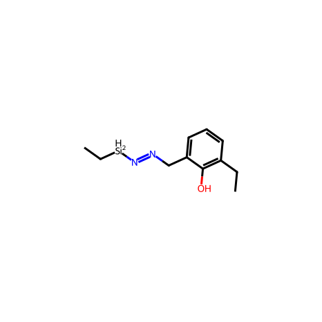 CC[SiH2]/N=N/Cc1cccc(CC)c1O